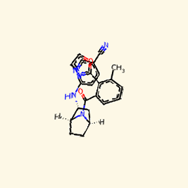 Cc1cccc(C(=O)N2[C@@H]3CC[C@H]2[C@H](Nc2ccc(C#N)cn2)C3)c1-c1ncco1